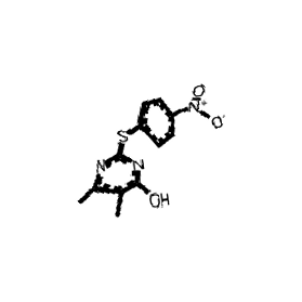 Cc1nc(Sc2ccc([N+](=O)[O-])cc2)nc(O)c1C